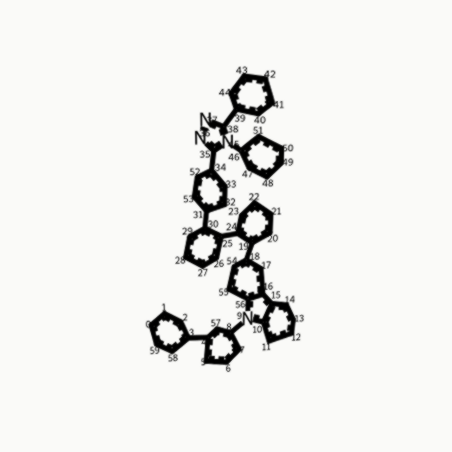 c1ccc(-c2cccc(-n3c4ccccc4c4cc(-c5ccccc5-c5ccccc5-c5ccc(-c6nnc(-c7ccccc7)n6-c6ccccc6)cc5)ccc43)c2)cc1